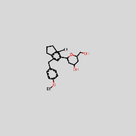 CCOc1ccc(Cc2cc(C3CC(O)CC(CO)O3)c(CC)c3c2CCC3)cc1